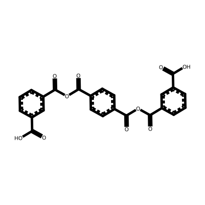 O=C(O)c1cccc(C(=O)OC(=O)c2ccc(C(=O)OC(=O)c3cccc(C(=O)O)c3)cc2)c1